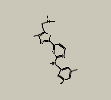 Cc1cc(C)cc(Nc2nccc(-c3nc(C)c(CN(C)C)s3)n2)c1